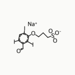 O=Cc1c(I)cc(I)c(OCCCS(=O)(=O)[O-])c1I.[Na+]